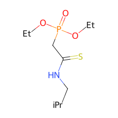 CCOP(=O)(CC(=S)NCC(C)C)OCC